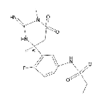 CCS(=O)(=O)Nc1ccc(F)c([C@]2(C)CS(=O)(=O)N(C)C(=N)N2)c1